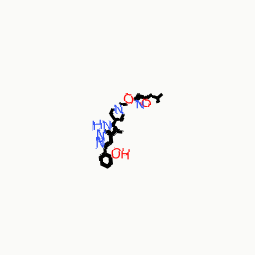 Cc1c(C2CCN(CCOc3cc(CC(C)C)on3)CC2)[nH]c2nnc(-c3ccccc3O)cc12